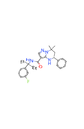 CCC(CC)(NC(=O)c1cnn2c1NC(c1ccccc1)CC2(C)C)c1cccc(F)c1